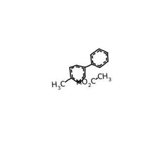 CC(=O)O.Cc1ccc(-c2ccccc2)cc1